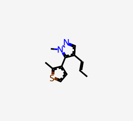 C/C=C/c1cnn(C)c1-c1ccsc1C